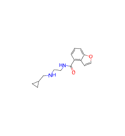 O=C(NCCNCC1CC1)c1cccc2occc12